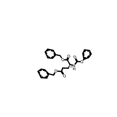 O=C(CC[C@H](NC(=O)Oc1ccccc1)C(=O)OCc1ccccc1)OCc1ccccc1